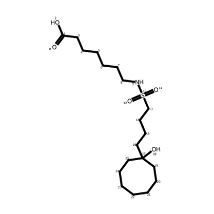 O=C(O)CCCCCCNS(=O)(=O)CCCCC1(O)CCCCCCC1